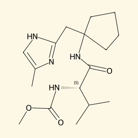 COC(=O)N[C@H](C(=O)NC1(Cc2nc(C)c[nH]2)CCCC1)C(C)C